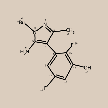 Cc1nn(C(C)(C)C)c(N)c1-c1cc(F)cc(O)c1F